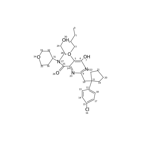 CCCCOc1c(O)nc(CC2(c3ccc(Cl)cc3)CCCC2)nc1C(=O)N(CCO)C1CCOCC1